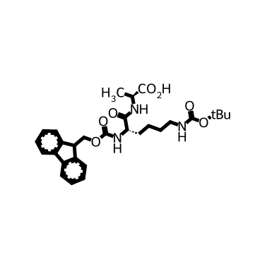 C[C@H](NC(=O)[C@H](CCCCNC(=O)OC(C)(C)C)NC(=O)OCC1c2ccccc2-c2ccccc21)C(=O)O